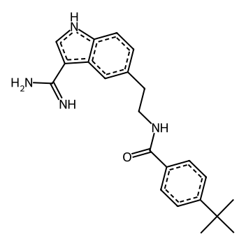 CC(C)(C)c1ccc(C(=O)NCCc2ccc3[nH]cc(C(=N)N)c3c2)cc1